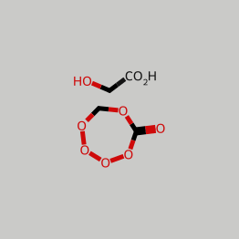 O=C(O)CO.O=C1OCOOOO1